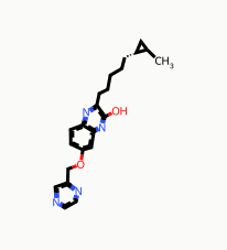 CC1C[C@H]1CCCCCc1nc2ccc(OCc3cnccn3)cc2nc1O